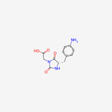 Nc1ccc(C[C@@H]2NC(=O)N(CC(=O)O)C2=O)cc1